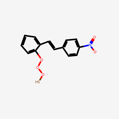 O=[N+]([O-])c1ccc(/C=C/c2ccccc2OOOS)cc1